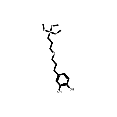 CO[Si](CCCSCCCc1ccc(O)c(O)c1)(OC)OC